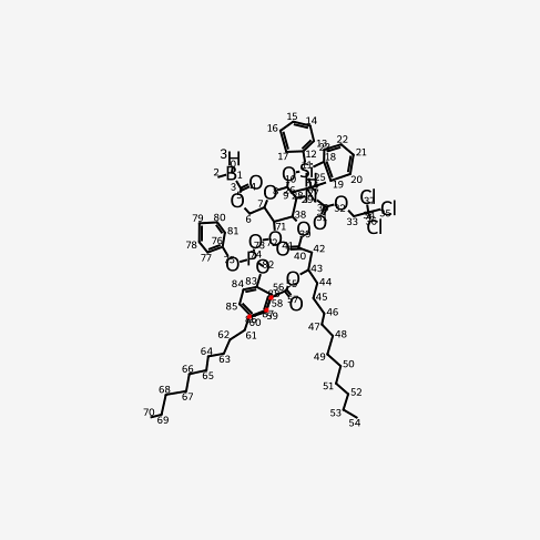 [3H]B(C)C(=O)OCC1OC(O[Si](c2ccccc2)(c2ccccc2)C(C)(C)C)C(NC(=O)OCC(Cl)(Cl)Cl)C(OC(=O)CC(CCCCCCCCCCC)OC(=O)CCCCCCCCCCCCC)C1OOP(Oc1ccccc1)Oc1ccccc1